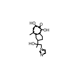 Cc1cc(O)c(=O)c(O)c2c1CC(C(C)(O)Cn1ccnc1)CC2